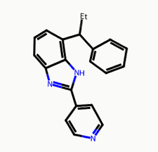 CCC(c1ccccc1)c1cccc2nc(-c3ccncc3)[nH]c12